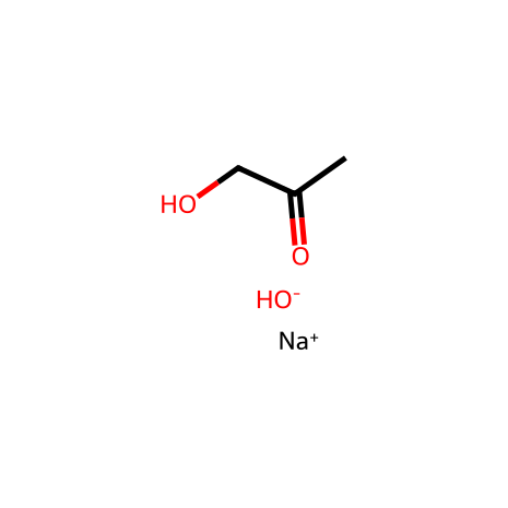 CC(=O)CO.[Na+].[OH-]